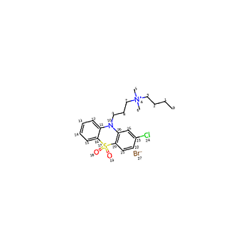 CCCC[N+](C)(C)CCCN1c2ccccc2S(=O)(=O)c2ccc(Cl)cc21.[Br-]